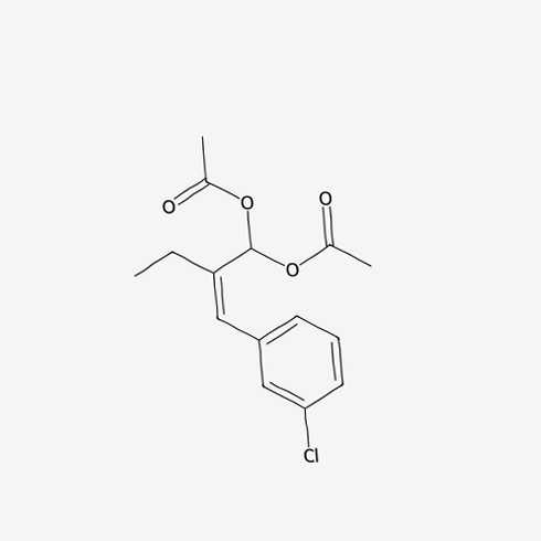 CCC(=Cc1cccc(Cl)c1)C(OC(C)=O)OC(C)=O